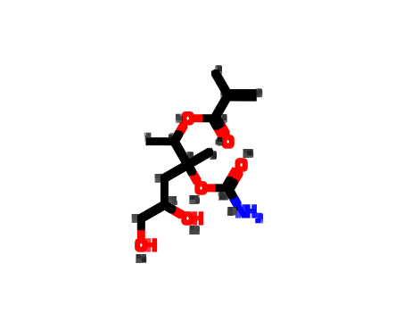 C=C(C)C(=O)OC(C)C(C)(CC(O)CO)OC(N)=O